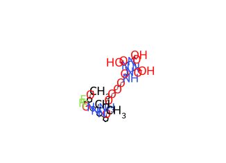 CCOc1ccc(C(=O)N2CCN(c3ccc(-c4ccccc4OCC)nc3CNCCCOCCOCCOCCOCCNC(=O)CN3CCN(CC(=O)O)CCN(CC(=O)O)CCN(CC(=O)O)CC3)C(CC)C2)c(C(F)(F)F)c1